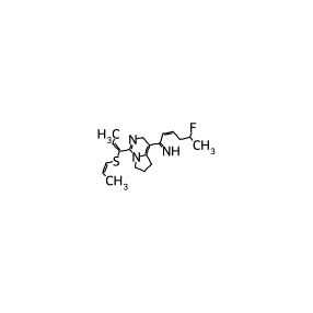 C/C=C\S/C(=C/C)C1=NCC(C(=N)/C=C\CC(C)F)=C2CCCN12